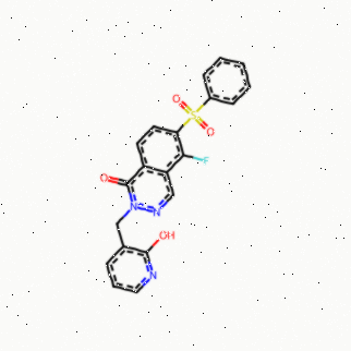 O=c1c2ccc(S(=O)(=O)c3ccccc3)c(F)c2cnn1Cc1cccnc1O